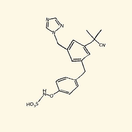 CC(C)(C#N)c1cc(Cc2ccc(ONS(=O)(=O)O)cc2)cc(Cn2cncn2)c1